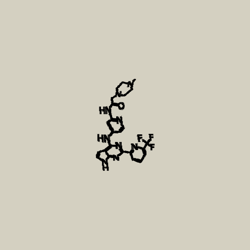 CN1CCN(CC(=O)Nc2cc(Nc3nc(-c4cccc(C(F)(F)F)n4)nc4[nH]ccc34)ccn2)CC1